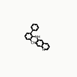 N#Cc1cccc(-c2ccccc2)c1Nc1ccc2ncccc2c1